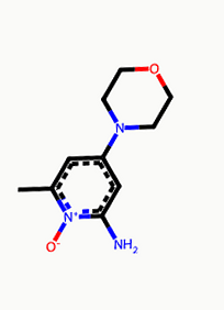 Cc1cc(N2CCOCC2)cc(N)[n+]1[O-]